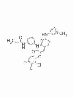 C=CC(=O)Nc1cccc(-n2c(=O)c(Oc3ccc(F)c(Cl)c3Cl)cc3cnc(Nc4cnn(C)c4)nc32)c1